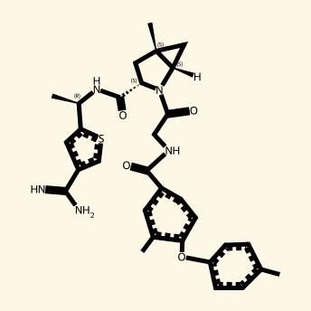 Cc1ccc(Oc2ccc(C(=O)NCC(=O)N3[C@H]4C[C@@]4(C)C[C@H]3C(=O)N[C@H](C)c3cc(C(=N)N)cs3)cc2C)cc1